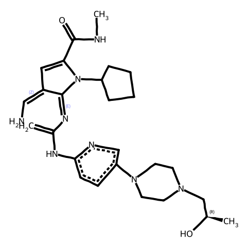 C=C(/N=C1\C(=C/N)C=C(C(=O)NC)N1C1CCCC1)Nc1ccc(N2CCN(C[C@@H](C)O)CC2)cn1